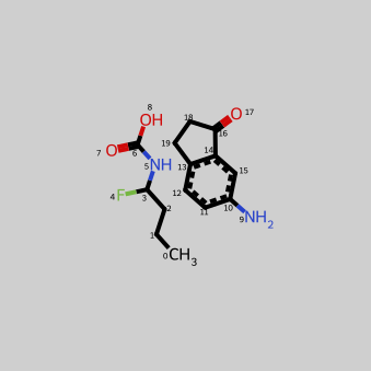 CCCC(F)NC(=O)O.Nc1ccc2c(c1)C(=O)CC2